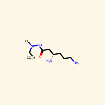 CCN(CC(=O)O)NC(=O)C[C@@H](N)CCCN